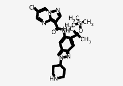 CC(C)(O[Si](C)(C)C)c1cc2nn(C3CCNCC3)cc2cc1NC(=O)c1cnn2cc(Cl)cnc12